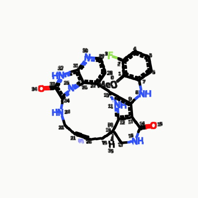 COc1c(F)cccc1Nc1c2[nH]c3c1C(=O)NC[C@H]3C/C=C\CNc1nc3c-2ccnc3[nH]c1=O